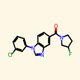 O=C(c1ccc2c(c1)ncn2-c1cccc(Cl)c1)N1CCC(F)C1